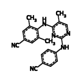 Cc1cnc(Nc2ccc(C#N)cc2)nc1Nc1c(C)cc(C#N)cc1C